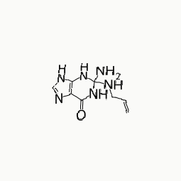 C=CCNC1(N)NC(=O)c2nc[nH]c2N1